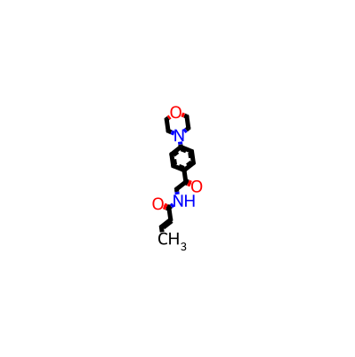 C/C=C/C(=O)NCC(=O)c1ccc(N2CCOCC2)cc1